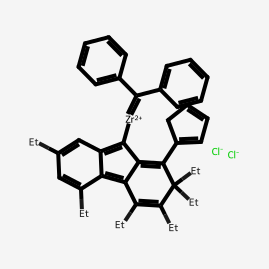 CCC1=C(CC)C(CC)(CC)C(C2=CC=CC2)=C2[C]([Zr+2]=[C](c3ccccc3)c3ccccc3)=c3cc(CC)cc(CC)c3=C12.[Cl-].[Cl-]